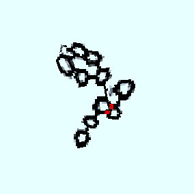 c1ccc(-c2ccc(-c3ccc(N(c4ccc(-c5ccc6ccc7oc8ccccc8c7c6c5)c(-c5ccccc5)c4)c4ccccc4-c4ccccc4)cc3)cc2)cc1